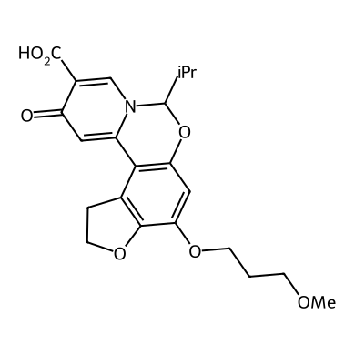 COCCCOc1cc2c(c3c1OCC3)-c1cc(=O)c(C(=O)O)cn1C(C(C)C)O2